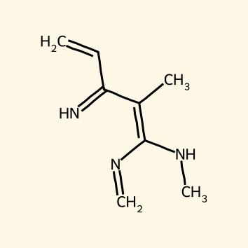 C=CC(=N)/C(C)=C(\N=C)NC